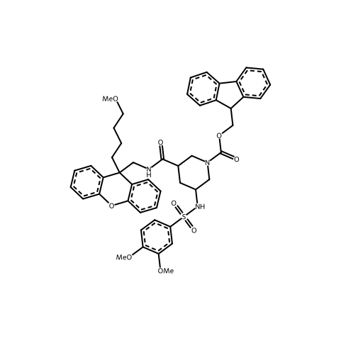 COCCCCC1(CNC(=O)C2CC(NS(=O)(=O)c3ccc(OC)c(OC)c3)CN(C(=O)OCC3c4ccccc4-c4ccccc43)C2)c2ccccc2Oc2ccccc21